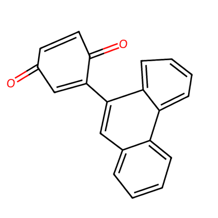 O=C1C=CC(=O)C(c2cc3ccccc3c3ccccc23)=C1